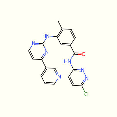 Cc1ccc(C(=O)Nc2ccc(Cl)nn2)cc1Nc1nccc(-c2cccnc2)n1